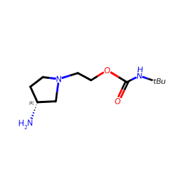 CC(C)(C)NC(=O)OCCN1CC[C@@H](N)C1